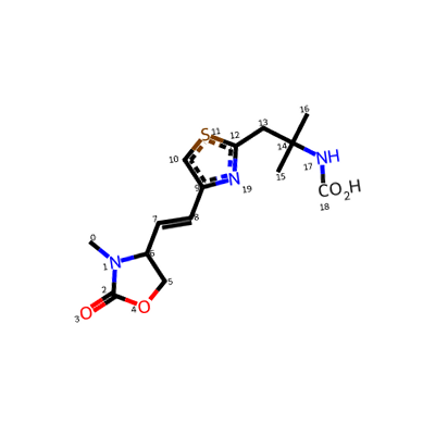 CN1C(=O)OCC1/C=C/c1csc(CC(C)(C)NC(=O)O)n1